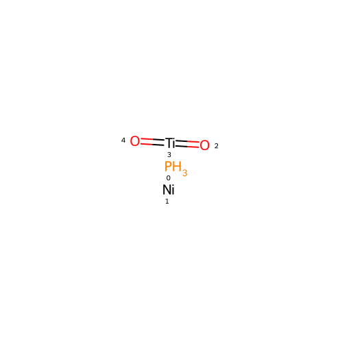 P.[Ni].[O]=[Ti]=[O]